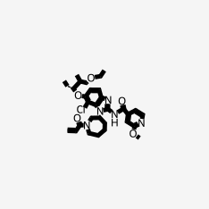 C=CC(=O)N1CCCC[C@@H](n2c(NC(=O)c3ccnc(OC)c3)nc3ccc(O[C@H](CC)C(C)COCC)c(Cl)c32)C1